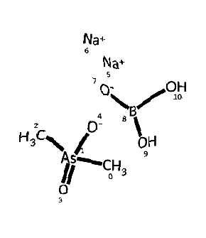 C[As](C)(=O)[O-].[Na+].[Na+].[O-]B(O)O